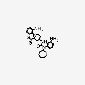 Nc1cccc(N(C(=O)NC2CCN(c3ccccc3N)C(=S(=O)=O)C2)C2CCCCCC2)c1